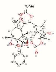 COC(=O)O[C@H]1C(=O)[C@]2(C)[C@@H](OC)C[C@H]3OC[C@@]3(OC(C)=O)[C@H]2[C@H](OC(=O)c2ccccc2)[C@]23OC(=O)O[C@H]2C(=O)C(C)=C1C3(C)C